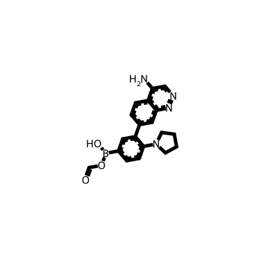 Nc1cnnc2cc(-c3cc(B(O)OC=O)ccc3N3CCCC3)ccc12